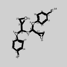 Fc1ccc(OC(OC(Oc2ccc(F)cc2)C2CO2)C2CO2)cc1